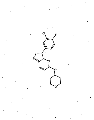 Fc1ccc(-c2cnc3ccc(NC4CCOCC4)nn23)cc1Cl